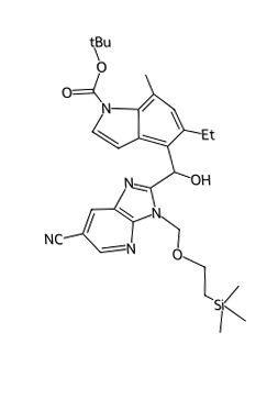 CCc1cc(C)c2c(ccn2C(=O)OC(C)(C)C)c1C(O)c1nc2cc(C#N)cnc2n1COCC[Si](C)(C)C